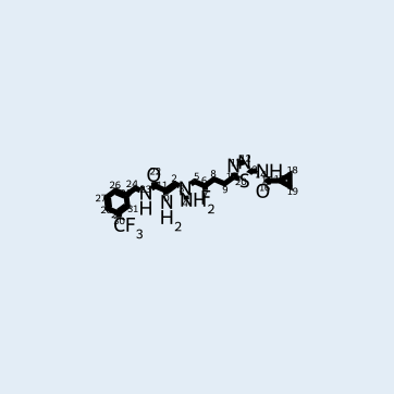 N/C(=C\N(N)CC(F)CCc1nnc(NC(=O)C2CC2)s1)C(=O)NCc1cccc(C(F)(F)F)c1